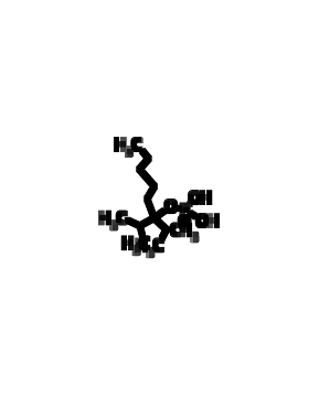 CCCCCC(OP(=O)(O)O)(C(C)C)C(C)C